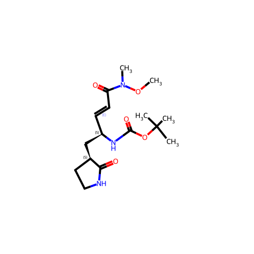 CON(C)C(=O)/C=C/[C@H](C[C@@H]1CCNC1=O)NC(=O)OC(C)(C)C